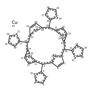 C1=Cc2nc1c(-c1cccs1)c1ccc([nH]1)c(-c1cccs1)c1nc(c(-c3cccs3)c3ccc([nH]3)c2-c2cccs2)C=C1.[Cu]